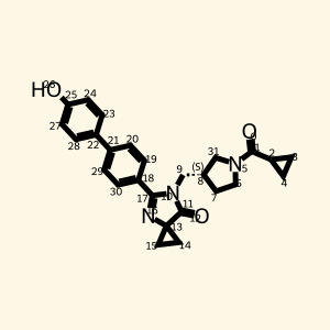 O=C(C1CC1)N1CC[C@H](CN2C(=O)C3(CC3)N=C2c2ccc(-c3ccc(O)cc3)cc2)C1